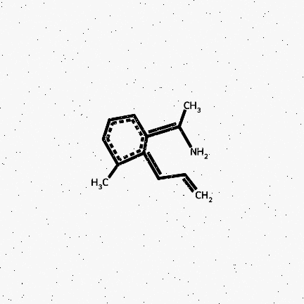 C=C/C=c1/c(C)ccc/c1=C(\C)N